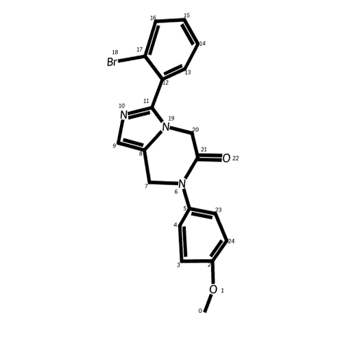 COc1ccc(N2Cc3cnc(-c4ccccc4Br)n3CC2=O)cc1